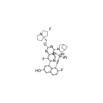 CC(C)[Si](C#Cc1c(F)ccc2cc(O)cc(-c3ncc4c(N5CC6CC(C6)C5)nc(OC[C@@]56CCCN5C[C@H](F)C6)nc4c3F)c12)(C(C)C)C(C)C